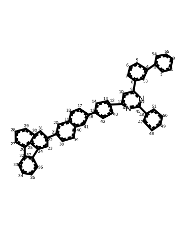 c1ccc(-c2cccc(-c3cc(-c4ccc(-c5ccc6cc(-c7cc8c9c(cccc9c7)-c7ccccc7-8)ccc6c5)cc4)nc(-c4ccccc4)n3)c2)cc1